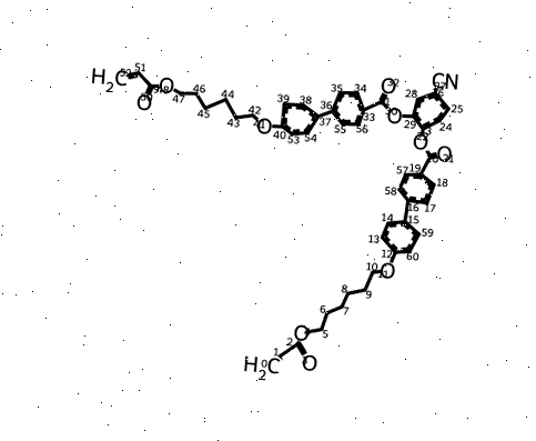 C=CC(=O)OCCCCCCOc1ccc(-c2ccc(C(=O)Oc3ccc(C#N)cc3OC(=O)c3ccc(-c4ccc(OCCCCCCOC(=O)C=C)cc4)cc3)cc2)cc1